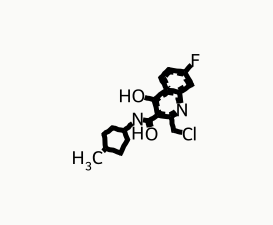 CC1CCC(NC(=O)c2c(CCl)nc3cc(F)ccc3c2O)CC1